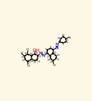 Cc1ccc(N=Nc2ccc(N=Nc3ccc4c(C)cc(C)c(C)c4c3O)c3cc(C)ccc23)cc1